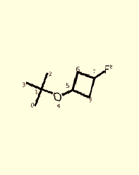 CC(C)(C)OC1CC(F)C1